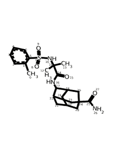 Cc1ccccc1S(=O)(=O)NC(C)(C)C(=O)NC1C2CC3CC1CC(C(N)=O)(C3)C2